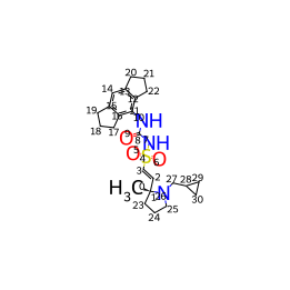 C[C@]1(/C=C/S(=O)(=O)NC(=O)Nc2c3c(cc4c2CCC4)CCC3)CCCN1CC1CC1